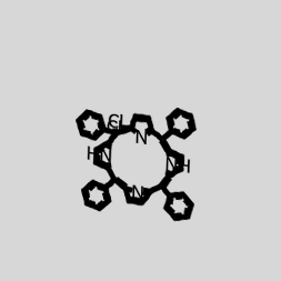 ClC12C=CC(=N1)C(c1ccccc1)=c1ccc([nH]1)=C(c1ccccc1)C1=NC(=C(c3ccccc3)c3ccc([nH]3)C2(Cl)c2ccccc2)C=C1